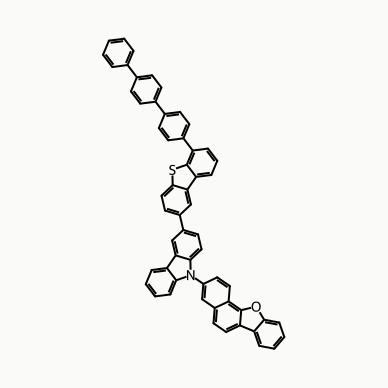 c1ccc(-c2ccc(-c3ccc(-c4cccc5c4sc4ccc(-c6ccc7c(c6)c6ccccc6n7-c6ccc7c(ccc8c9ccccc9oc78)c6)cc45)cc3)cc2)cc1